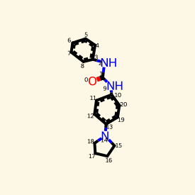 O=C(Nc1ccccc1)Nc1ccc(N2CCCC2)cc1